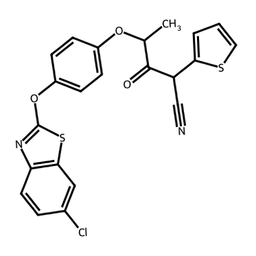 CC(Oc1ccc(Oc2nc3ccc(Cl)cc3s2)cc1)C(=O)C(C#N)c1cccs1